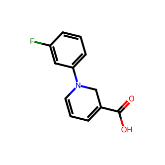 O=C(O)C1=CC=CN(c2cccc(F)c2)C1